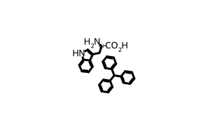 N[C@@H](Cc1c[nH]c2ccccc12)C(=O)O.c1ccc(C(c2ccccc2)c2ccccc2)cc1